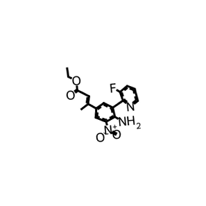 CCOC(=O)/C=C(\C)c1cc(-c2ncccc2F)c(N)c([N+](=O)[O-])c1